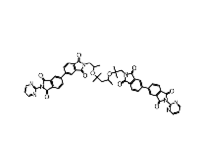 CC(CN1C(=O)c2ccc(-c3ccc4c(c3)C(=O)N(c3ncccn3)C4=O)cc2C1=O)OC(C)(C)CC(C)OC(C)(C)CN1C(=O)c2ccc(-c3ccc4c(c3)C(=O)N(c3ncccn3)C4=O)cc2C1=O